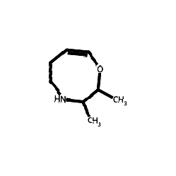 CC1NCC/C=C\OC1C